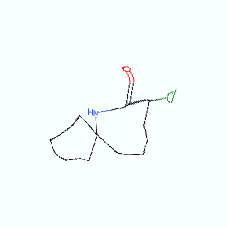 O=C1NC2(CCCC2)CCCC1Cl